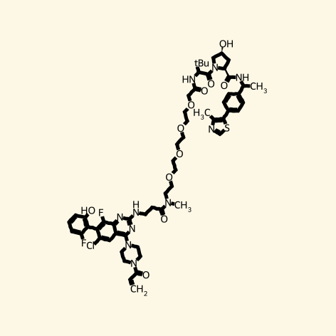 C=CC(=O)N1CCN(c2nc(NCCC(=O)N(C)CCOCCOCCOCCOCC(=O)NC(C(=O)N3C[C@H](O)C[C@H]3C(=O)NC(C)c3ccc(-c4scnc4C)cc3)C(C)(C)C)nc3c(F)c(-c4c(O)cccc4F)c(Cl)cc23)CC1